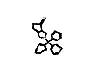 O=C1CC=C2CN(C(c3ccccc3)(c3ccccc3)c3ccccc3)CC12